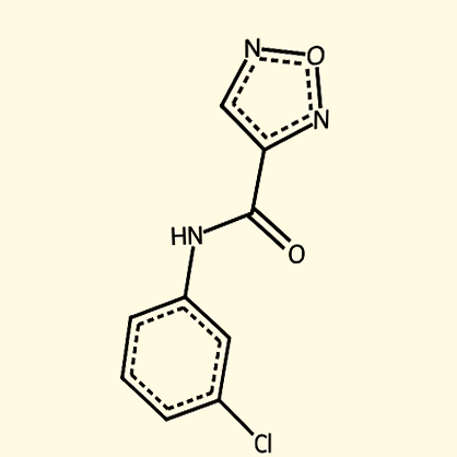 O=C(Nc1cccc(Cl)c1)c1cnon1